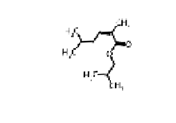 CC(=CCC(C)C)C(=O)OCC(C)C